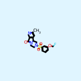 Cc1cc2c(cn1)C(=O)N1CCN(S(=O)(=O)c3cccc(OCF)c3)CC21